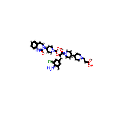 Cc1cc(C[C@@H](OC(=O)N2CCC(N3CCc4ccccc4NC3=O)CC2)C(=O)N2CCC(C3CCN(CCC(=O)O)CC3)CC2)cc(Cl)c1N